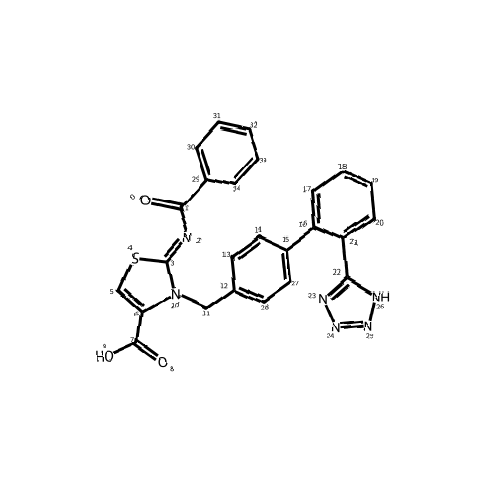 O=C(N=c1scc(C(=O)O)n1Cc1ccc(-c2ccccc2-c2nnn[nH]2)cc1)c1ccccc1